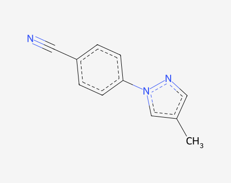 Cc1cnn(-c2ccc(C#N)cc2)c1